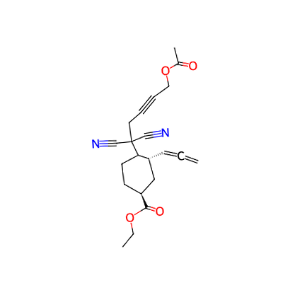 C=C=C[C@@H]1C[C@@H](C(=O)OCC)CCC1C(C#N)(C#N)CC#CCOC(C)=O